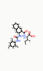 CC[C@H](C)[C@H](NC(=O)c1cc2ccccc2cc1NC(=O)Nc1c(C)cc(C)cc1C)C(=O)O